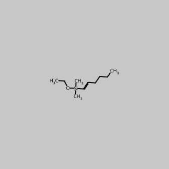 CCCCC=C[Si](C)(C)OCC